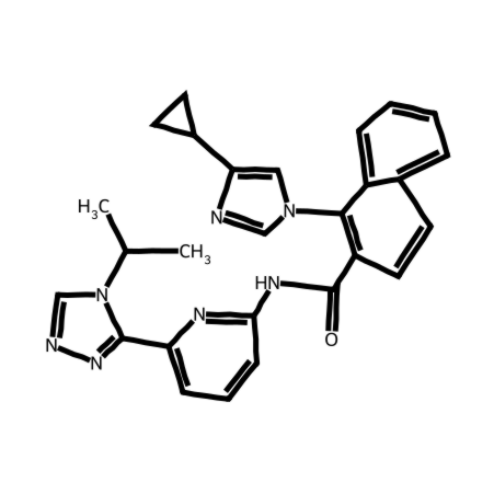 CC(C)n1cnnc1-c1cccc(NC(=O)c2ccc3ccccc3c2-n2cnc(C3CC3)c2)n1